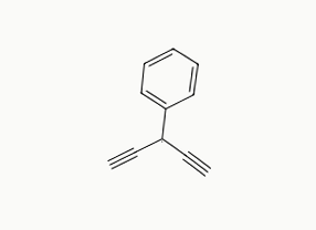 C#C[C](C#C)c1ccccc1